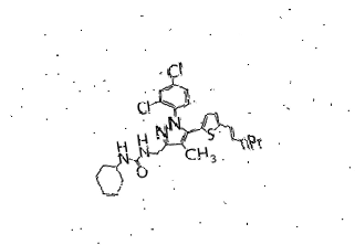 CCCC=Cc1ccc(-c2c(C)c(CNC(=O)NC3CCCCC3)nn2-c2ccc(Cl)cc2Cl)s1